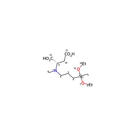 CCO[Si](C)(CCCN(C)[C@@H](CC(=O)O)C(=O)O)OCC